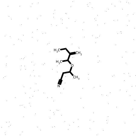 C=C(CC)C(C)OC(C)CC#N